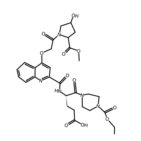 CCOC(=O)N1CCN(C(=O)[C@H](CCC(=O)O)NC(=O)c2cc(OCC(=O)N3CC(O)CC3C(=O)OC)c3ccccc3n2)CC1